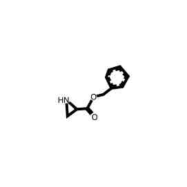 O=C(OCc1ccccc1)C1CN1